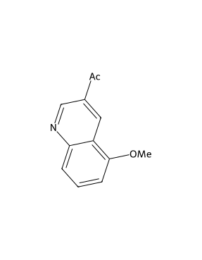 COc1cccc2ncc(C(C)=O)cc12